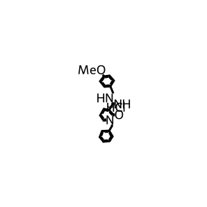 COc1ccc(CNC(=N)c2cccn(Cc3ccccc3)c2=O)cc1.Cl